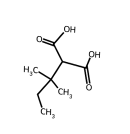 CCC(C)(C)C(C(=O)O)C(=O)O